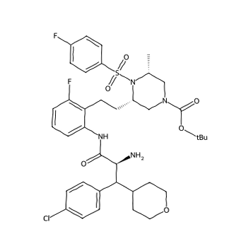 C[C@@H]1CN(C(=O)OC(C)(C)C)C[C@H](CCc2c(F)cccc2NC(=O)[C@@H](N)C(c2ccc(Cl)cc2)C2CCOCC2)N1S(=O)(=O)c1ccc(F)cc1